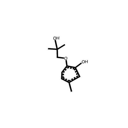 Cc1ccc(OCC(C)(C)O)c(O)c1